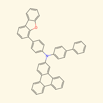 c1ccc(-c2ccc(N(c3ccc(-c4cccc5c4oc4ccccc45)cc3)c3ccc4c5ccccc5c5ccccc5c4c3)cc2)cc1